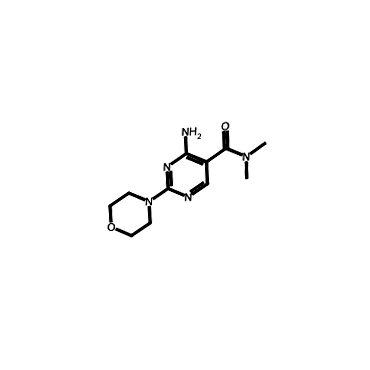 CN(C)C(=O)c1cnc(N2CCOCC2)nc1N